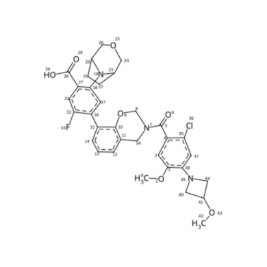 COc1cc(C(=O)N2COc3c(cccc3-c3cc(N4C5CCC4COC5)c(C(=O)O)cc3F)C2)c(Cl)cc1N1CC(OC)C1